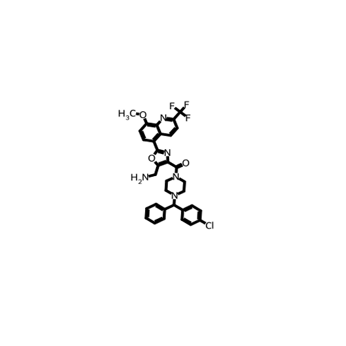 COc1ccc(-c2nc(C(=O)N3CCN(C(c4ccccc4)c4ccc(Cl)cc4)CC3)c(CN)o2)c2ccc(C(F)(F)F)nc12